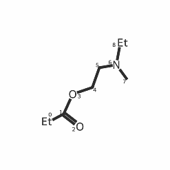 CCC(=O)OCCN(C)CC